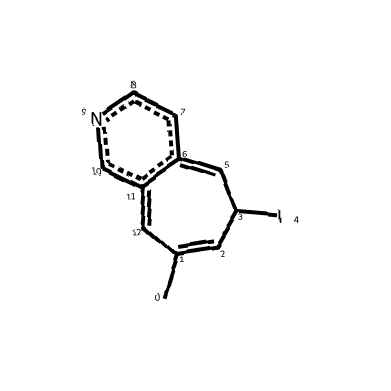 CC1=CC(I)C=c2ccncc2=C1